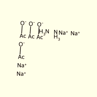 CC(=O)[O-].CC(=O)[O-].CC(=O)[O-].CC(=O)[O-].N.N.[Na+].[Na+].[Na+].[Na+]